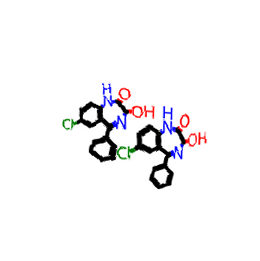 O=C1Nc2ccc(Cl)cc2C(c2ccccc2)=NC1O.O=C1Nc2ccc(Cl)cc2C(c2ccccc2)=NC1O